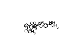 CC(C)(Cc1ccc(C(=O)Oc2ccc(C(=N)N)cc2F)s1)C(=O)N1CCC[C@H]1CC(=O)O